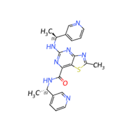 Cc1nc2nc(N[C@@H](C)c3cccnc3)nc(C(=O)N[C@@H](C)c3cccnc3)c2s1